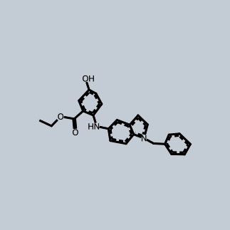 CCOC(=O)c1cc(O)ccc1Nc1ccc2c(ccn2Cc2ccccc2)c1